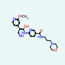 COc1cc(/C(C=N)=C(\O)Nc2ccc(C(=O)NCCCN3CCOCC3)cn2)ccn1